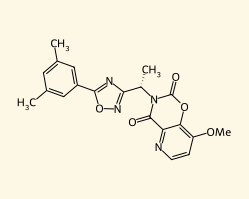 COc1ccnc2c(=O)n([C@@H](C)c3noc(-c4cc(C)cc(C)c4)n3)c(=O)oc12